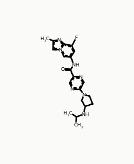 Cc1cn2cc(NC(=O)c3cnc(N4CCC(NC(C)C)C4)cn3)cc(F)c2n1